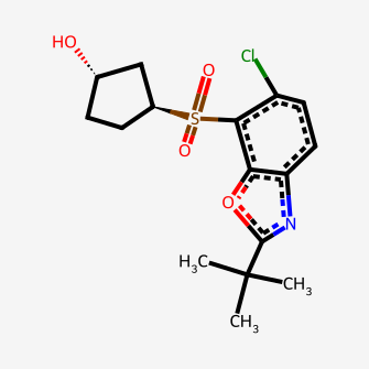 CC(C)(C)c1nc2ccc(Cl)c(S(=O)(=O)[C@H]3CC[C@H](O)C3)c2o1